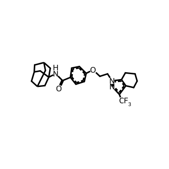 O=C(NC12CC3CC(CC(C3)C1)C2)c1ccc(OCCn2nc(C(F)(F)F)c3c2CCCC3)cc1